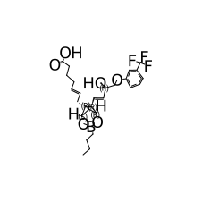 CCCCB1O[C@H]2C[C@@H](O1)[C@H](C=C[C@@H](O)COc1cccc(C(F)(F)F)c1)[C@H]2CC=CCCCC(=O)O